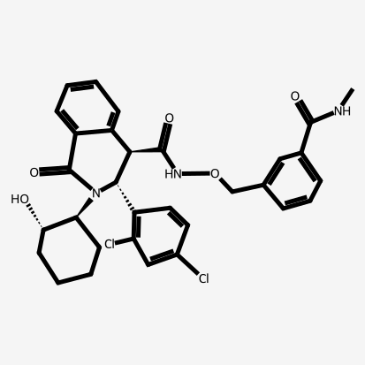 CNC(=O)c1cccc(CONC(=O)[C@@H]2c3ccccc3C(=O)N([C@H]3CCCC[C@@H]3O)[C@H]2c2ccc(Cl)cc2Cl)c1